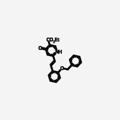 CCOC(=O)c1c[nH]c(C=Cc2ccccc2OCc2ccccc2)cc1=O